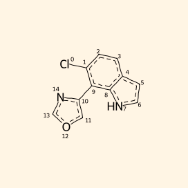 Clc1ccc2cc[nH]c2c1-c1cocn1